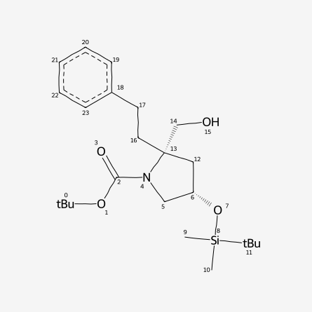 CC(C)(C)OC(=O)N1C[C@@H](O[Si](C)(C)C(C)(C)C)C[C@]1(CO)CCc1ccccc1